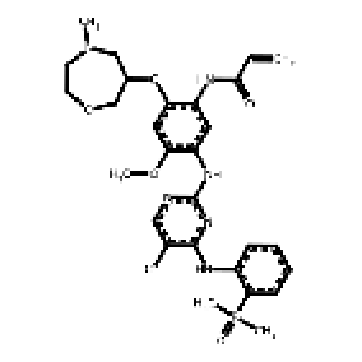 C=CC(=O)Nc1cc(Nc2ncc(Cl)c(Nc3ccccc3P(C)(C)=O)n2)c(OC)cc1OC1COCCN(C)C1